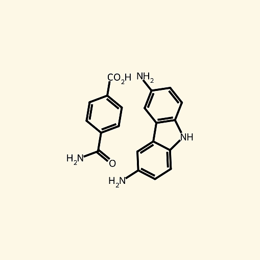 NC(=O)c1ccc(C(=O)O)cc1.Nc1ccc2[nH]c3ccc(N)cc3c2c1